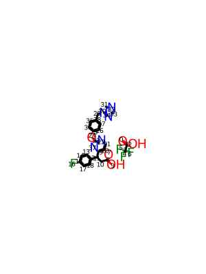 O=C(O)C(F)(F)F.O=C(O)CC(c1ccc(F)cc1)c1ccnc(Oc2ccc(Cn3cncn3)cc2)n1